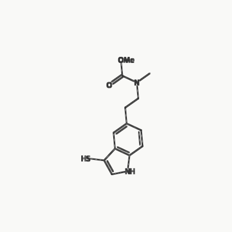 COC(=O)N(C)CCc1ccc2[nH]cc(S)c2c1